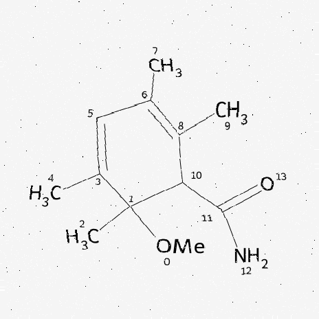 COC1(C)C(C)=CC(C)=C(C)C1C(N)=O